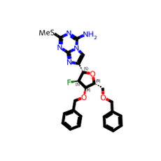 CSc1nc(N)n2cc([C@@H]3O[C@H](COCc4ccccc4)[C@@H](OCc4ccccc4)[C@H]3F)nc2n1